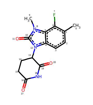 Cc1ccc2c(c1F)n(C)c(=O)n2C1CCC(=O)NC1=O